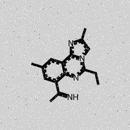 CCc1nc2c(C(C)=N)cc(C)cc2c2nc(C)cn12